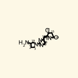 NC1CCN(c2nccc(/C=C3\NC(=O)CC3=O)n2)C1